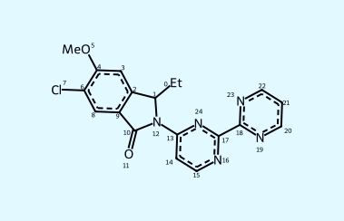 CCC1c2cc(OC)c(Cl)cc2C(=O)N1c1ccnc(-c2ncccn2)n1